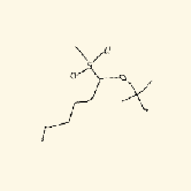 CCCCCC(OC(C)(C)C)[Si](C)(Cl)Cl